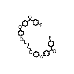 O=C(c1ccc(F)cc1)c1ccc(Oc2ccc(OCCOCCOc3ccc(Oc4ccc(C(=O)c5ccc(F)cc5)cc4)cc3)cc2)cc1